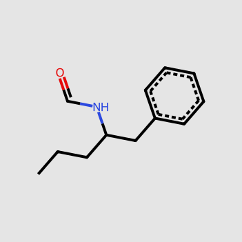 CCCC(Cc1ccccc1)NC=O